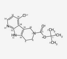 CC(C)(C)OC(=O)N1CCc2[nH]c3nccc(Cl)c3c2C1